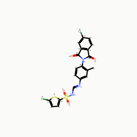 Cc1cc(/N=C/NS(=O)(=O)c2ccc(Cl)s2)ccc1N1C(=O)c2ccc(Cl)cc2C1=O